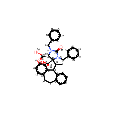 C[C@@H](C1c2ccccc2CCc2ccccc21)[C@]1(C(=O)O)[C@@H](C(=O)O)N(Cc2ccccc2)C(=O)N1Cc1ccccc1